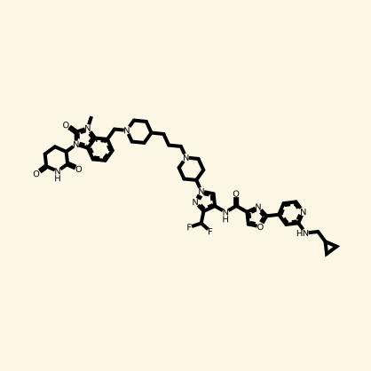 Cn1c(=O)n(C2CCC(=O)NC2=O)c2cccc(CN3CCC(CCCN4CCC(n5cc(NC(=O)c6coc(-c7ccnc(NCC8CC8)c7)n6)c(C(F)F)n5)CC4)CC3)c21